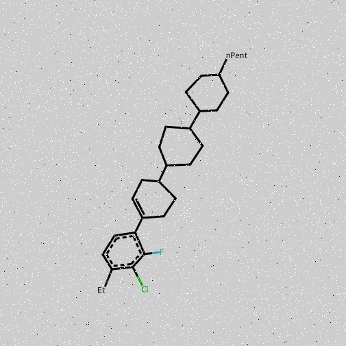 CCCCCC1CCC(C2CCC(C3CC=C(c4ccc(CC)c(Cl)c4F)CC3)CC2)CC1